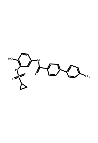 O=C(Nc1ccc(O)c(NS(=O)(=O)C2CC2)c1)c1ccc(-c2ccc(C(F)(F)F)cc2)cc1